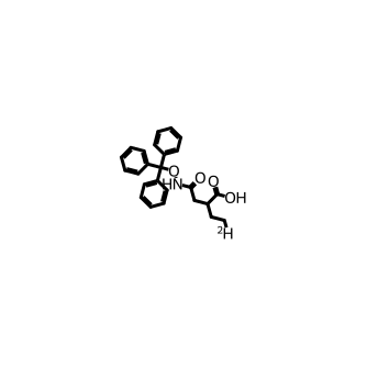 [2H]CCC(CC(=O)NOC(c1ccccc1)(c1ccccc1)c1ccccc1)C(=O)O